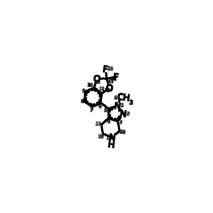 Cn1nc2c(c1-c1cccc3c1OC(F)(F)O3)CCNC2